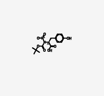 CC(C)(C)OC(=O)N([C@@H](Cc1ccc(O)cc1)C(=O)O)[N+](=O)[O-]